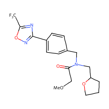 COCC(=O)N(Cc1ccc(-c2noc(C(F)(F)F)n2)cc1)CC1CCCO1